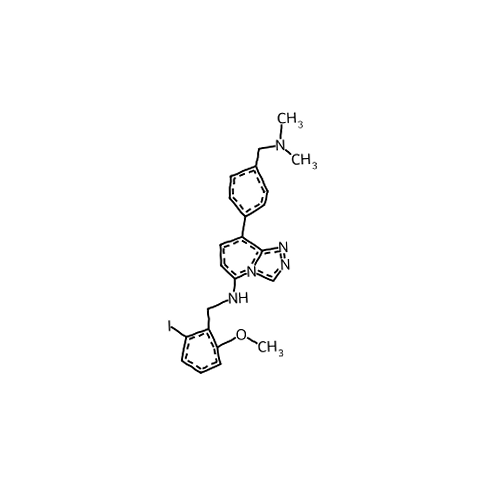 COc1cccc(I)c1CNc1ccc(-c2ccc(CN(C)C)cc2)c2nncn12